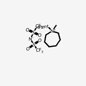 CCCCC[N+]1(C)CCCCCC1.O=S(=O)([N-]S(=O)(=O)C(F)(F)F)C(F)(F)F